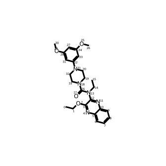 CCOc1nc2ccccc2nc1N(CC)C(=O)N1CCN(c2cc(OC)cc(OC)c2)CC1